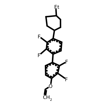 C=COc1ccc(-c2ccc(C3CCC(CC)CC3)c(F)c2F)c(F)c1F